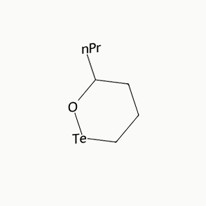 CCCC1CCC[Te]O1